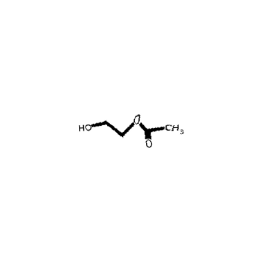 CC(=O)O[CH]CO